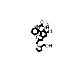 C=C1Nc2c(Cl)cc3cc(CN4CCCC4CO)oc3c2C2(CCCCC2)N1